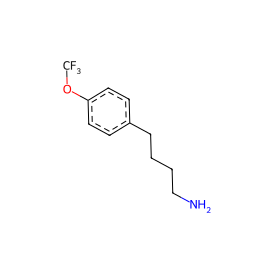 NCCCCc1ccc(OC(F)(F)F)cc1